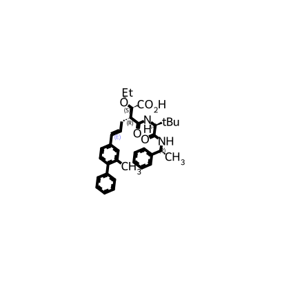 CCO[C@H](C(=O)O)[C@@H](C/C=C/c1ccc(-c2ccccc2)c(C)c1)C(=O)N[C@H](C(=O)N[C@H](C)c1ccccc1)C(C)(C)C